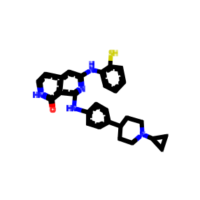 O=c1[nH]ccc2cc(Nc3ccccc3S)nc(Nc3ccc(C4CCN(C5CC5)CC4)cc3)c12